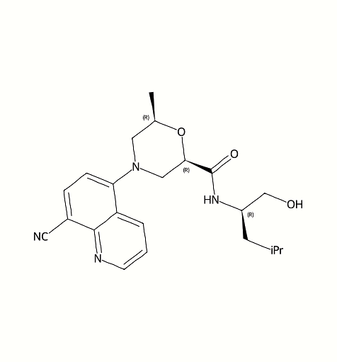 CC(C)C[C@H](CO)NC(=O)[C@H]1CN(c2ccc(C#N)c3ncccc23)C[C@@H](C)O1